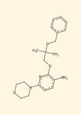 CC(C)(COc1nc(N2CCOCC2)ccc1N)OCc1ccccc1